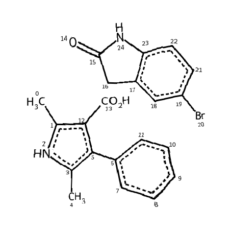 Cc1[nH]c(C)c(-c2ccccc2)c1C(=O)O.O=C1Cc2cc(Br)ccc2N1